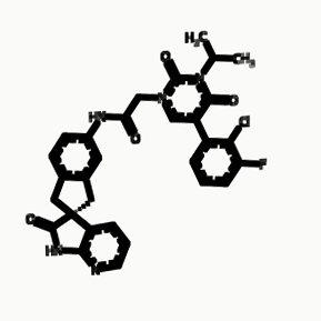 CC(C)n1c(=O)c(-c2cccc(F)c2Cl)cn(CC(=O)Nc2ccc3c(c2)C[C@@]2(C3)C(=O)Nc3ncccc32)c1=O